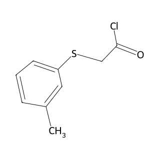 Cc1cccc(SCC(=O)Cl)c1